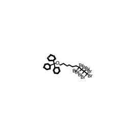 BrC(Br)(Br)C(Br)(Br)C(Br)(Br)C(Br)(Br)CCCCCCOC(c1ccccc1)(c1ccccc1)c1ccccc1